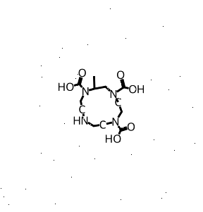 CC1CN(C(=O)O)CCN(C(=O)O)CCNCCN1C(=O)O